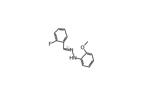 COc1ccccc1N/N=C/c1ccccc1F